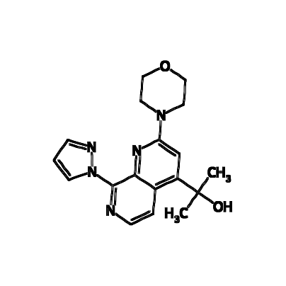 CC(C)(O)c1cc(N2CCOCC2)nc2c(-n3cccn3)nccc12